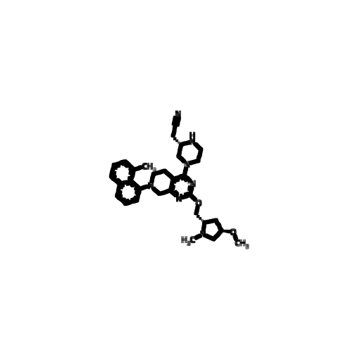 CO[C@@H]1C[C@@H](COc2nc3c(c(N4CCN[C@@H](CC#N)C4)n2)CCN(c2cccc4cccc(C)c24)C3)N(C)C1